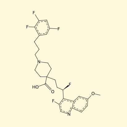 COc1ccc2ncc(F)c([C@H](F)CCC3(C(=O)O)CCN(CCCc4cc(F)cc(F)c4F)CC3)c2c1